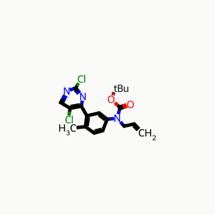 C=CCN(C(=O)OC(C)(C)C)c1ccc(C)c(-c2nc(Cl)ncc2Cl)c1